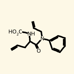 C=CCC(NC(=O)O)C(=O)N(CC=C)c1ccccc1